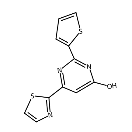 Oc1cc(-c2nccs2)nc(-c2cccs2)n1